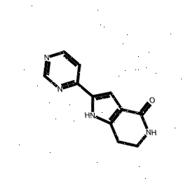 O=C1NCCc2[nH]c(-c3ccncn3)cc21